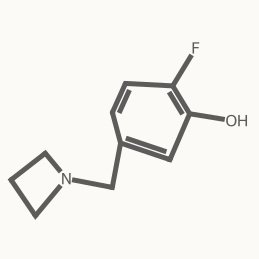 Oc1cc(CN2CCC2)ccc1F